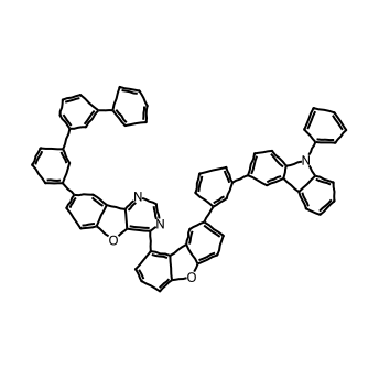 c1ccc(-c2cccc(-c3cccc(-c4ccc5oc6c(-c7cccc8oc9ccc(-c%10cccc(-c%11ccc%12c(c%11)c%11ccccc%11n%12-c%11ccccc%11)c%10)cc9c78)ncnc6c5c4)c3)c2)cc1